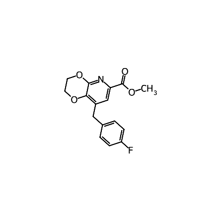 COC(=O)c1cc(Cc2ccc(F)cc2)c2c(n1)OCCO2